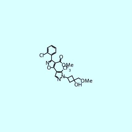 COCC1(O)CC(n2ncc(-c3onc(-c4ccccc4Cl)c3C(=O)OC)c2C(F)(F)F)C1